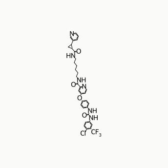 O=C(Nc1ccc(Oc2ccnc(C(=O)NCCCCCCNC(=O)C3CC3c3cccnc3)c2)cc1)Nc1ccc(Cl)c(C(F)(F)F)c1